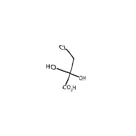 O=C(O)C(O)(O)CCl